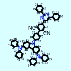 N#Cc1cc(-c2cc(-c3ccccc3)nc(-c3ccccc3)n2)cc(C#N)c1-c1ccc(-n2c3ccc(N(c4ccccc4)c4ccccc4)cc3c3cc(N(c4ccccc4)c4ccccc4)ccc32)cc1